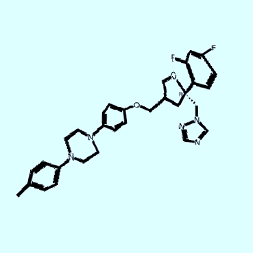 Cc1ccc(N2CCN(c3ccc(OCC4CO[C@@](Cn5cncn5)(c5ccc(F)cc5F)C4)cc3)CC2)cc1